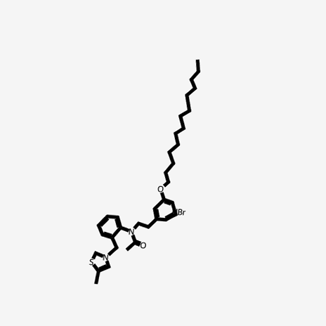 Br.CCCCCCCCCCCCCCOc1cccc(CCN(C(C)=O)c2ccccc2CN2C=C(C)SC2)c1